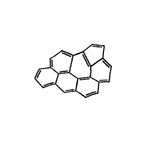 C1=Cc2c3ccc4cccc5cc6ccc7ccc1c2c7c6c3c45